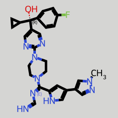 Cn1cc(-c2c[nH]c(/C(=N\C=N)N3CCN(c4ncc([C@](O)(c5ccc(F)cc5)C5CC5)cn4)CC3)c2)cn1